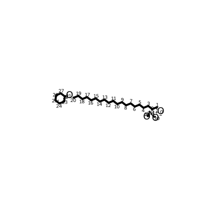 O=[C]C(CCCCCCCCCCCCCCCCCCOC1CC[CH]CC1)[N+](=O)[O-]